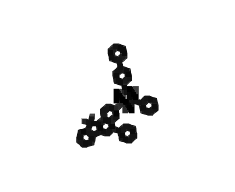 CC1(C)c2ccccc2-c2cc(-c3ccccc3)c3cc(-c4nc(-c5ccccc5)nc(-c5ccc(-c6ccccc6)cc5)n4)ccc3c21